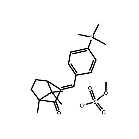 CC12CCC(C(=Cc3ccc([N+](C)(C)C)cc3)C1=O)C2(C)C.COS(=O)(=O)[O-]